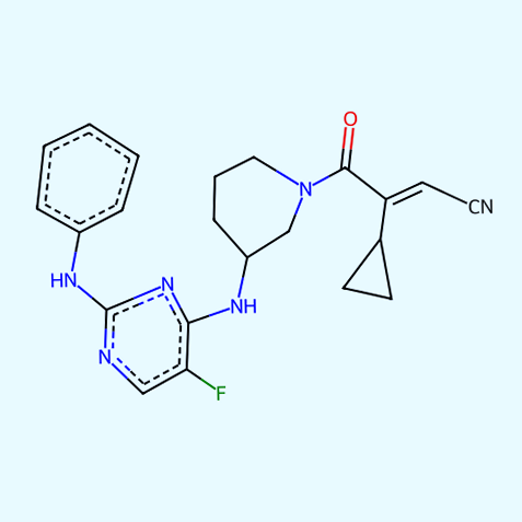 N#CC=C(C(=O)N1CCCC(Nc2nc(Nc3ccccc3)ncc2F)C1)C1CC1